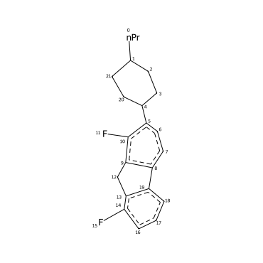 CCCC1CCC(c2ccc3c(c2F)Cc2c(F)cccc2-3)CC1